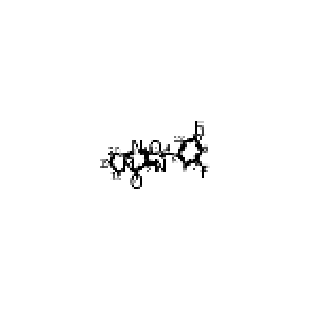 O=c1c2nc(-c3cc(F)cc(F)c3)oc2nc2n1CCC2